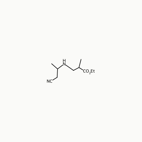 CCOC(=O)C(C)CNC(C)CC#N